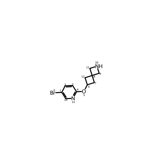 Brc1ccc(OC2CC3(CNC3)C2)nc1